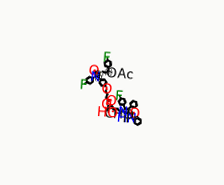 CC(=O)O[C@@H](CC[C@H]1C(=O)N(c2ccc(F)cc2)[C@@H]1c1ccc(OCCCC(=O)OC(CC=O)CC(O)CCn2c(-c3ccc(F)cc3)c(-c3ccccc3)c(C(=O)Nc3ccccc3)c2C(C)C)cc1)c1ccc(F)cc1